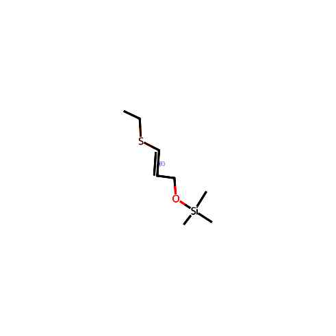 CCS/C=C/CO[Si](C)(C)C